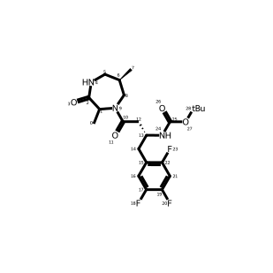 CC1C(=O)NC[C@@H](C)CN1C(=O)C[C@@H](Cc1cc(F)c(F)cc1F)NC(=O)OC(C)(C)C